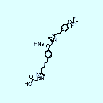 O=C(O)Cn1ncc(CCCCc2ccc(OCc3coc(C=Cc4ccc(OC(F)(F)F)cc4)n3)cc2)n1.[NaH]